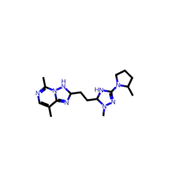 CC1=CN=C(C)N2NC(CCC3NC(N4CCCC4C)=NN3C)N=C12